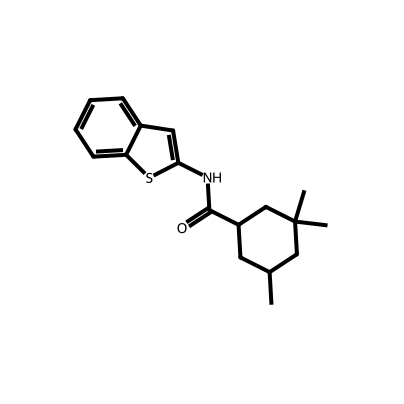 CC1CC(C(=O)Nc2cc3ccccc3s2)CC(C)(C)C1